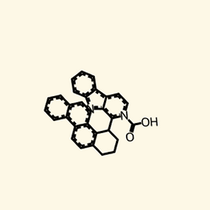 O=C(O)n1ccc2c3ccccc3nc-2c1C1CCCc2ccc3c(ccc4ccccc43)c21